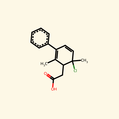 CC1=C(c2ccccc2)C=CC(C)(Cl)C1CC(=O)O